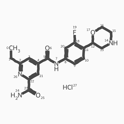 CCc1cc(C(=O)Nc2ccc(C3CNCCO3)c(F)c2)cc(C(N)=O)n1.Cl